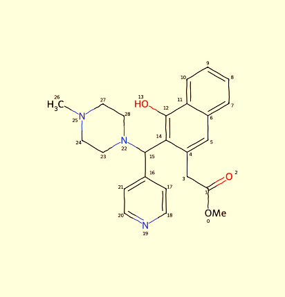 COC(=O)Cc1cc2ccccc2c(O)c1C(c1ccncc1)N1CCN(C)CC1